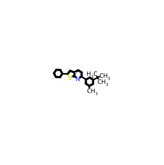 Cc1cc(-c2ccc3cc(-c4ccccc4)sc3n2)cc(C(C)(C)C)c1